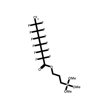 CO[Si](CCCOC(=O)C(F)(F)C(F)(F)C(F)(F)C(F)(F)C(F)(F)C(F)(F)C(F)(F)F)(OC)OC